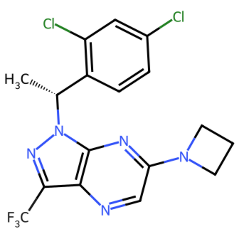 C[C@H](c1ccc(Cl)cc1Cl)n1nc(C(F)(F)F)c2ncc(N3CCC3)nc21